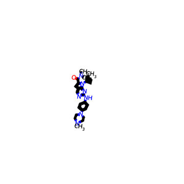 C[C@@H]1C2CC1(n1c(C(=O)N(C)C)cc3cnc(Nc4ccc(N5CCN(C)CC5)cc4)nc31)C2